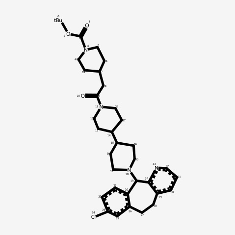 CC(C)(C)OC(=O)N1CCC(CC(=O)N2CCC(C3CCN(C4c5ccc(Cl)cc5CCc5cccnc54)CC3)CC2)CC1